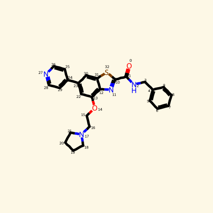 O=C(NCc1ccccc1)c1nc2c(OCCN3CCCC3)cc(-c3ccncc3)cc2s1